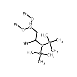 CCCC(C[SiH](OCC)OCC)N([Si](C)(C)C)[Si](C)(C)C